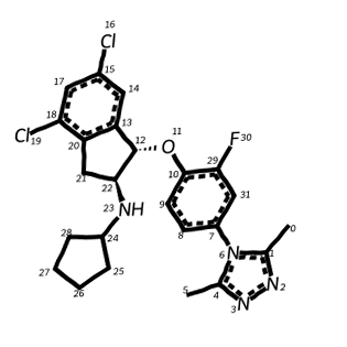 Cc1nnc(C)n1-c1ccc(O[C@H]2c3cc(Cl)cc(Cl)c3C[C@@H]2NC2CCCC2)c(F)c1